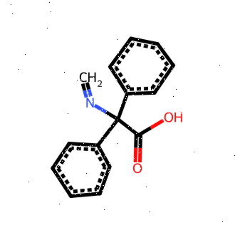 C=NC(C(=O)O)(c1ccccc1)c1ccccc1